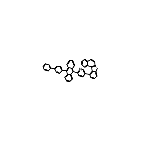 c1ccc(-c2ccc(-c3c4ccccc4c(-c4ccc(-c5cccc6sc7ccc8ccccc8c7c56)cn4)c4ccccc34)cc2)cc1